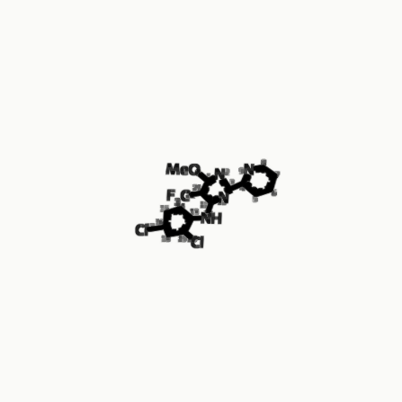 COc1nc(-c2ccccn2)nc(Nc2ccc(Cl)cc2Cl)c1C(F)(F)F